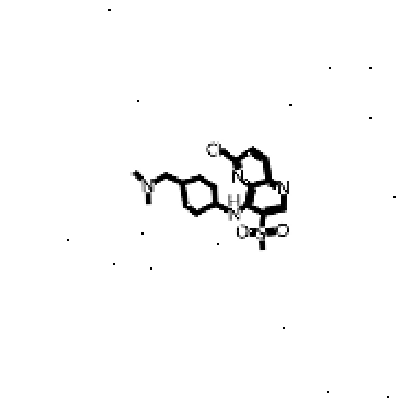 CN(C)CC1CCC(Nc2c(S(C)(=O)=O)cnc3ccc(Cl)nc23)CC1